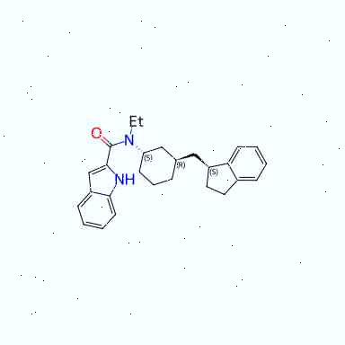 CCN(C(=O)c1cc2ccccc2[nH]1)[C@H]1CCC[C@H](C[C@@H]2CCc3ccccc32)C1